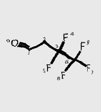 O=CCC(F)(F)C(F)(F)F